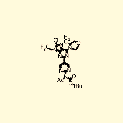 CC(=O)N(C(=O)OC(C)(C)C)c1ncc(-c2nc(N3CCOC[C@@H]3C)c3nc(Cl)n(CC(F)(F)F)c3n2)cn1